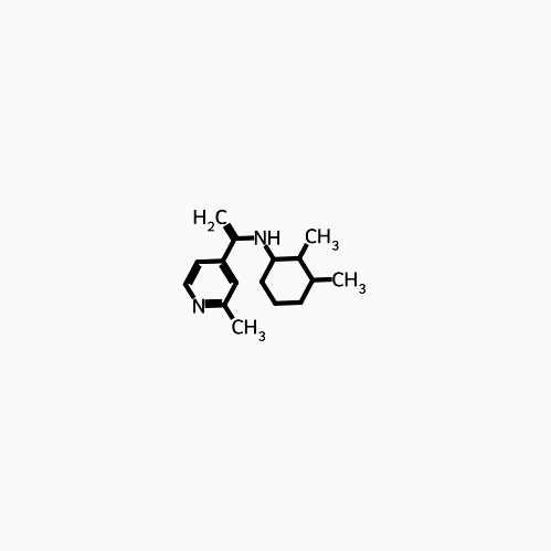 C=C(NC1CCCC(C)C1C)c1ccnc(C)c1